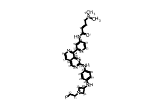 CN(C)C/C=C/C(=O)Nc1ccnc(-c2nccc3cnc(Nc4ccc(NC5CN(CCF)C5)cc4)nc23)c1